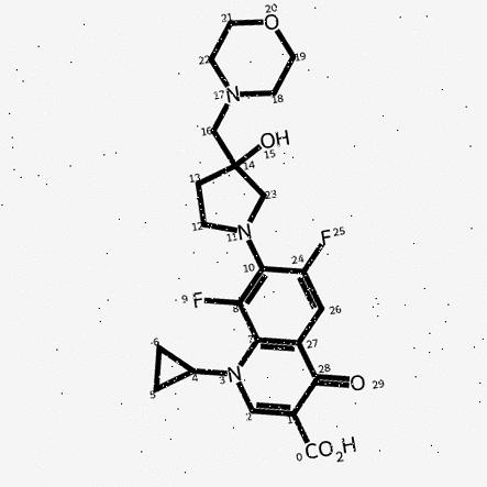 O=C(O)c1cn(C2CC2)c2c(F)c(N3CCC(O)(CN4CCOCC4)C3)c(F)cc2c1=O